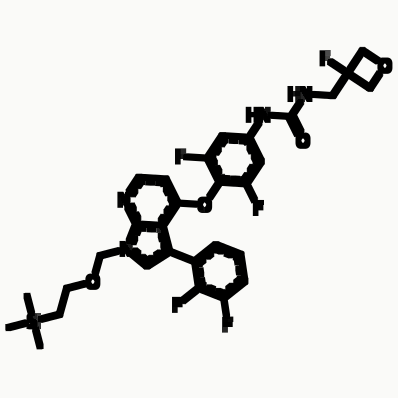 C[Si](C)(C)CCOCn1cc(-c2cccc(F)c2F)c2c(Oc3c(F)cc(NC(=O)NCC4(F)COC4)cc3F)ccnc21